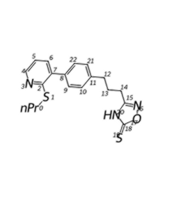 CCCSc1ncccc1-c1ccc(CCCc2noc(=S)[nH]2)cc1